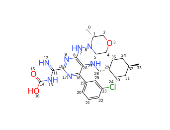 C[C@@H]1COCCN1Nc1nc(C(=N)NC(=O)O)nc(-c2cccc(Cl)c2)c1NC[C@H]1CC[C@H](C)CC1